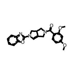 COc1ccc(C(=O)N2CC3=CN(c4nc5ccccc5o4)CC3C2)c(OC)c1